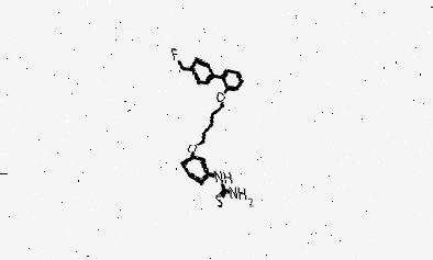 NC(=S)Nc1cccc(OCCCCCOc2ccccc2-c2ccc(CF)cc2)c1